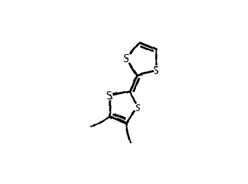 CC1=C(C)SC(=C2SC=CS2)S1